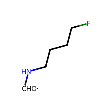 O=[C]NCCCCF